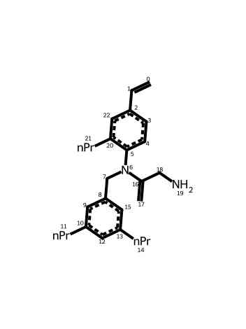 C=Cc1ccc(N(Cc2cc(CCC)cc(CCC)c2)C(=C)CN)c(CCC)c1